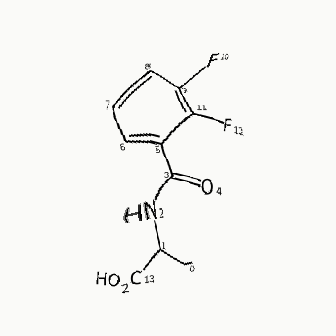 CC(NC(=O)c1cccc(F)c1F)C(=O)O